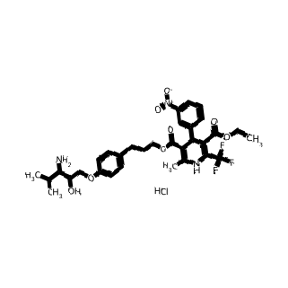 CCOC(=O)C1=C(C(F)(F)F)NC(C)=C(C(=O)OCCCc2ccc(OCC(O)C(N)C(C)C)cc2)C1c1cccc([N+](=O)[O-])c1.Cl